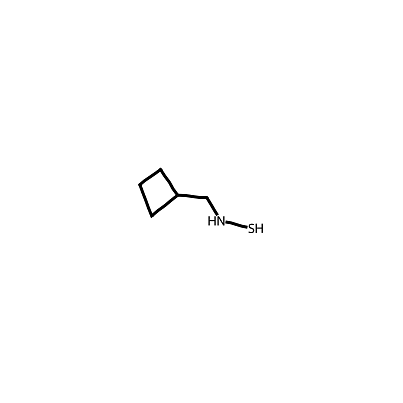 SNCC1CCC1